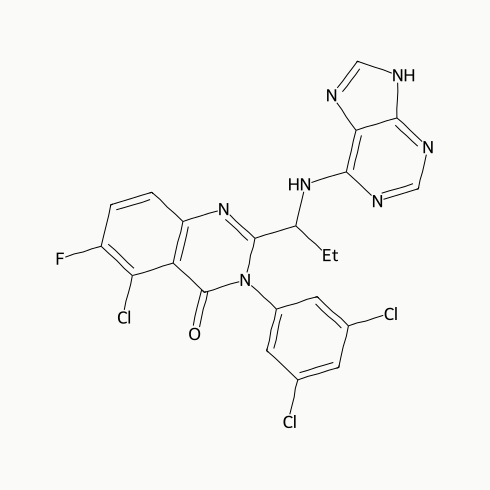 CCC(Nc1ncnc2[nH]cnc12)c1nc2ccc(F)c(Cl)c2c(=O)n1-c1cc(Cl)cc(Cl)c1